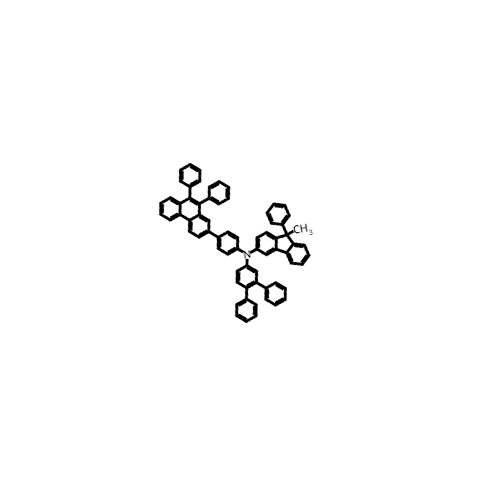 CC1(c2ccccc2)c2ccccc2-c2cc(N(c3ccc(-c4ccc5c(c4)c(-c4ccccc4)c(-c4ccccc4)c4ccccc45)cc3)c3ccc(-c4ccccc4)c(-c4ccccc4)c3)ccc21